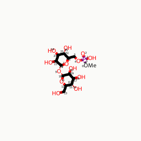 COP(=O)(O)OCC1O[C@H](O[C@H]2OC(CO)[C@@H](O)C(O)C2O)C(O)C(O)[C@@H]1O